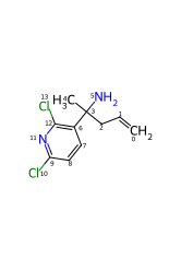 C=CCC(C)(N)c1ccc(Cl)nc1Cl